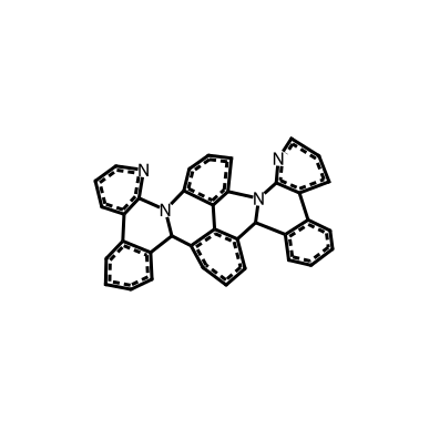 c1ccc2c(c1)-c1cccnc1N1c3cccc4c3-c3c(cccc3C3c5ccccc5-c5cccnc5N43)C21